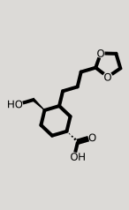 O=C(O)[C@@H]1CC[C@@H](CO)C(CCCC2OCCO2)C1